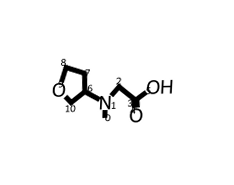 CN(CC(=O)O)C1CCOC1